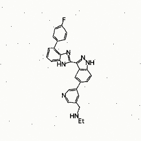 CCNCc1cncc(-c2ccc3[nH]nc(-c4nc5c(-c6ccc(F)cc6)cccc5[nH]4)c3c2)c1